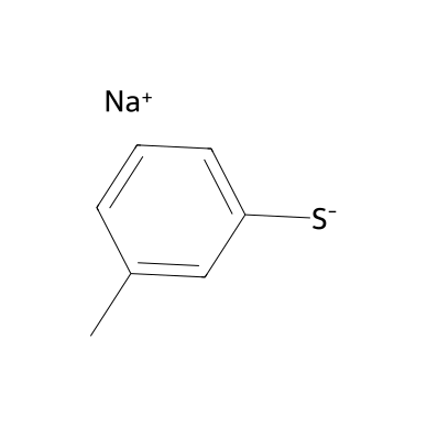 Cc1cccc([S-])c1.[Na+]